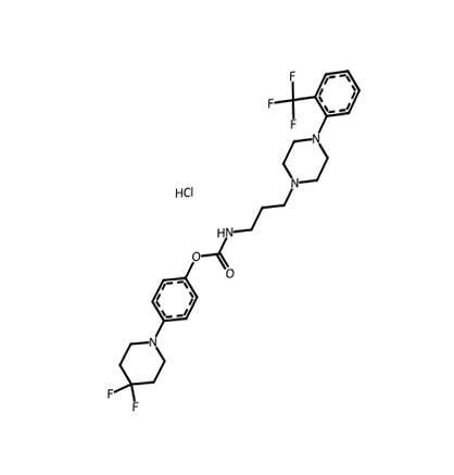 Cl.O=C(NCCCN1CCN(c2ccccc2C(F)(F)F)CC1)Oc1ccc(N2CCC(F)(F)CC2)cc1